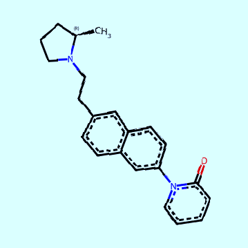 C[C@@H]1CCCN1CCc1ccc2cc(-n3ccccc3=O)ccc2c1